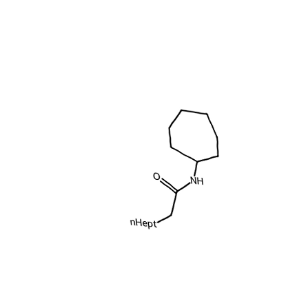 CCCCCCCCC(=O)NC1CCCCCC1